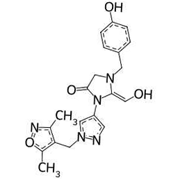 Cc1noc(C)c1Cn1cc(N2C(=O)CN(Cc3ccc(O)cc3)/C2=C\O)cn1